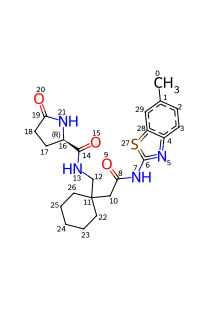 Cc1ccc2nc(NC(=O)CC3(CNC(=O)[C@H]4CCC(=O)N4)CCCCC3)sc2c1